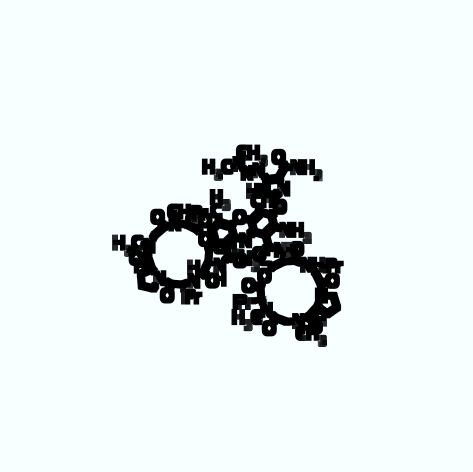 CN(C)/N=N/c1[nH]cnc1C(N)=O.Cc1c2oc3c(C)ccc(C(=O)N[C@@H]4C(=O)N[C@H](C(C)C)C(=O)N5CCC[C@H]5C(=O)N(C)CC(=O)N(C)[C@@H](C(C)C)C(=O)O[C@@H]4C)c3nc-2c(C(=O)N[C@@H]2C(=O)N[C@H](C(C)C)C(=O)N3CCC[C@H]3C(=O)N(C)CC(=O)N(C)[C@@H](C(C)C)C(=O)O[C@@H]2C)c(N)c1=O